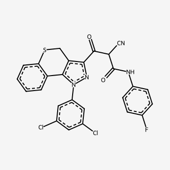 N#CC(C(=O)Nc1ccc(F)cc1)C(=O)c1nn(-c2cc(Cl)cc(Cl)c2)c2c1CSc1ccccc1-2